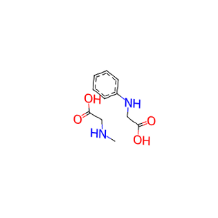 CNCC(=O)O.O=C(O)CNc1ccccc1